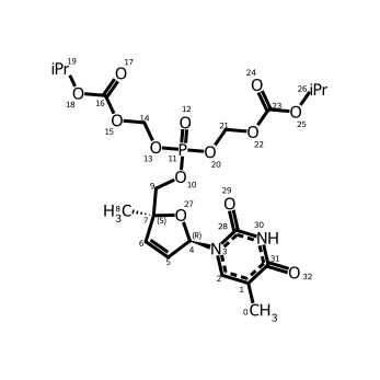 Cc1cn([C@H]2C=C[C@@](C)(COP(=O)(OCOC(=O)OC(C)C)OCOC(=O)OC(C)C)O2)c(=O)[nH]c1=O